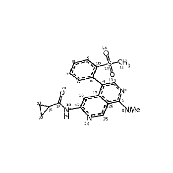 CNc1ncc(-c2ccccc2S(C)(=O)=O)c2cc(NC(=O)C3CC3)ncc12